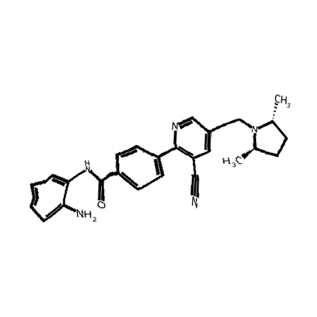 C[C@@H]1CC[C@@H](C)N1Cc1cnc(-c2ccc(C(=O)Nc3ccccc3N)cc2)c(C#N)c1